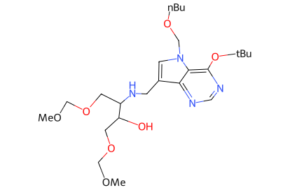 CCCCOCn1cc(CNC(COCOC)C(O)COCOC)c2ncnc(OC(C)(C)C)c21